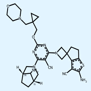 N#Cc1c(N2C[C@H]3CC[C@@H](C2)C3N)nc(OCC2(CN3CCOCC3)CC2)nc1N1CC2(CCc3sc(N)c(C#N)c32)C1